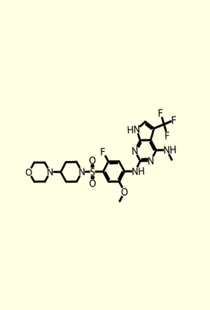 CNc1nc(Nc2cc(F)c(S(=O)(=O)N3CCC(N4CCOCC4)CC3)cc2OC)nc2[nH]cc(C(F)(F)F)c12